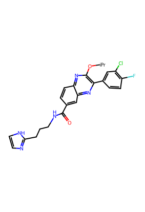 CC(C)Oc1nc2ccc(C(=O)NCCCc3ncc[nH]3)cc2nc1-c1ccc(F)c(Cl)c1